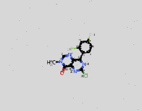 Cn1cnc2c(-c3ccc(F)cc3F)nc(Cl)nc2c1=O